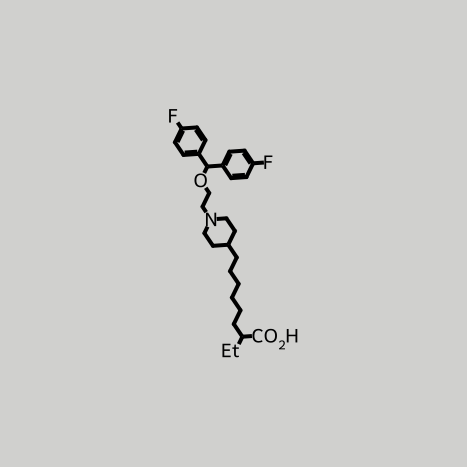 CCC(CCCCCCC1CCN(CCOC(c2ccc(F)cc2)c2ccc(F)cc2)CC1)C(=O)O